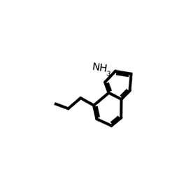 CCCc1cccc2ccccc12.N